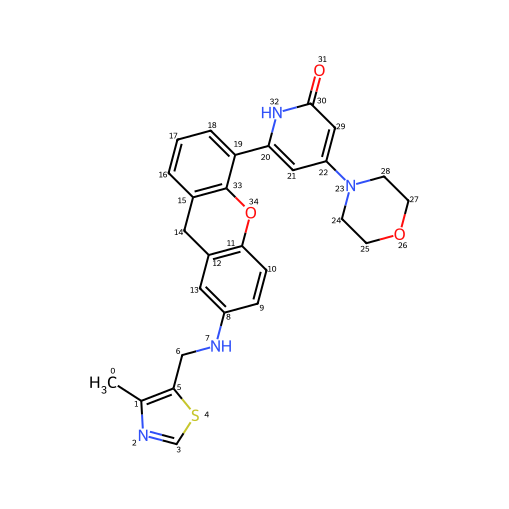 Cc1ncsc1CNc1ccc2c(c1)Cc1cccc(-c3cc(N4CCOCC4)cc(=O)[nH]3)c1O2